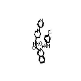 O=C(NCC1CCN(c2ccncc2)CC1)C1Cc2ccccc2CN1C(=O)Nc1ccc(Cl)cc1